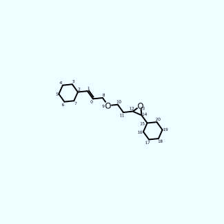 C(=C\C1CCCCC1)/COCCC1OC1C1CCCCC1